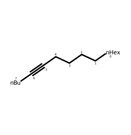 [CH2]CCCCCCCCCC#CCCCC